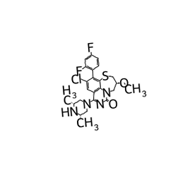 CO[C@@H]1CSc2c(-c3ccc(F)cc3F)c(Cl)cc3c(N4C[C@@H](C)N[C@@H](C)C4)nc(=O)n(c23)C1